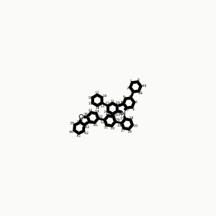 c1ccc(-c2ccc3c(c2)c2cc(-c4ccccc4)ccc2n3-c2ccccc2-c2ccc(-c3ccc4oc5ccccc5c4c3)cc2)cc1